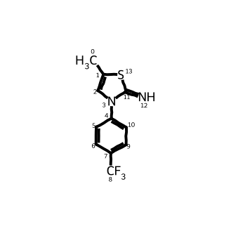 Cc1cn(-c2ccc(C(F)(F)F)cc2)c(=N)s1